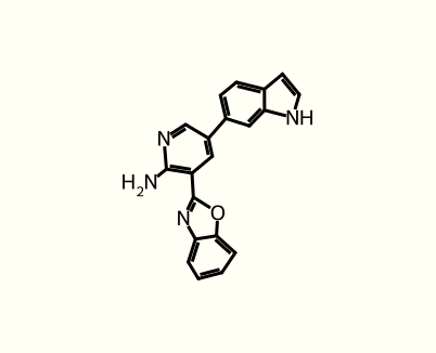 Nc1ncc(-c2ccc3cc[nH]c3c2)cc1-c1nc2ccccc2o1